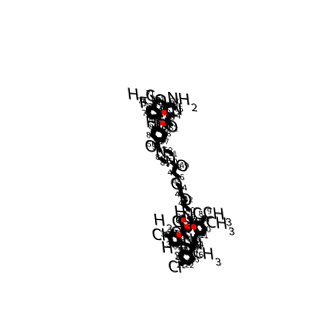 CCOc1cc(C(C)(C)C)ccc1C1=N[C@@](C)(c2ccc(Cl)cc2)[C@@](C)(c2ccc(Cl)cc2)N1C(=O)N1CCN(CCOCCOCCC(=O)N2CCN(C(=O)c3ccc(NC(=O)c4cnc(N)c(O[C@H](C)c5c(F)ccc(Cl)c5F)c4)cc3)CC2)CC1